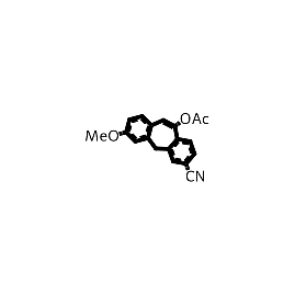 COc1ccc2c(c1)Cc1cc(C#N)ccc1C(OC(C)=O)=C2